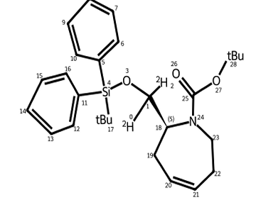 [2H]C([2H])(O[Si](c1ccccc1)(c1ccccc1)C(C)(C)C)[C@@H]1CC=CCCN1C(=O)OC(C)(C)C